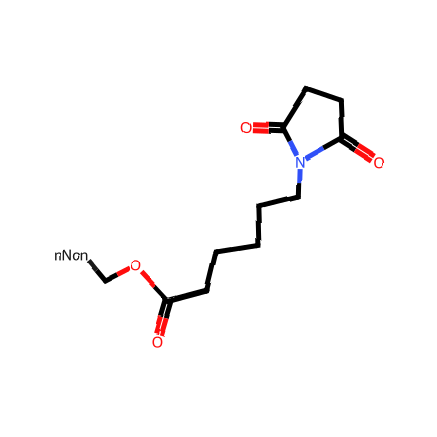 CCCCCCCCCCOC(=O)CCCCCN1C(=O)CCC1=O